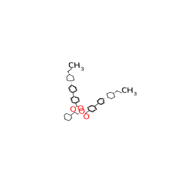 CCC[C@H]1CC[C@H](c2ccc(-c3ccc(C(=O)OCC(OC(=O)c4ccc(-c5ccc([C@H]6CC[C@H](CCC)CC6)cc5)cc4)C4CCCCC4)cc3)cc2)CC1